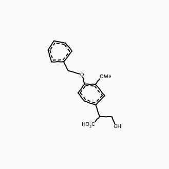 COc1cc(C(CO)C(=O)O)ccc1OCc1ccccc1